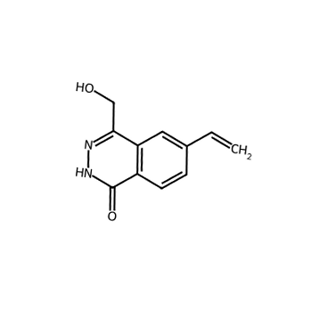 C=Cc1ccc2c(=O)[nH]nc(CO)c2c1